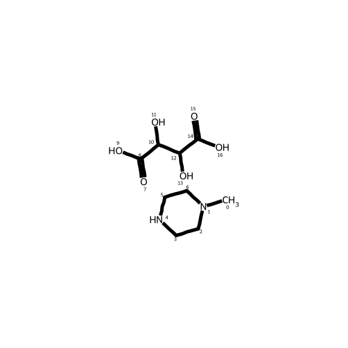 CN1CCNCC1.O=C(O)C(O)C(O)C(=O)O